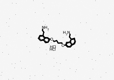 Cl.Cl.NCCc1cccc2ccc(OCCCCOc3ccc4cccc(CCN)c4c3)cc12